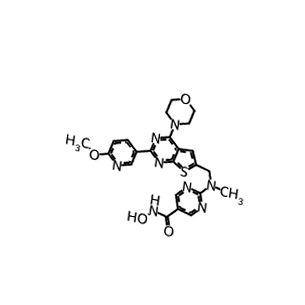 COc1ccc(-c2nc(N3CCOCC3)c3cc(CN(C)c4ncc(C(=O)NO)cn4)sc3n2)cn1